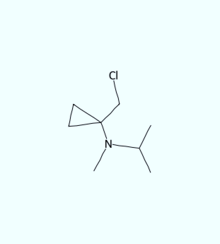 CC(C)N(C)C1(CCl)CC1